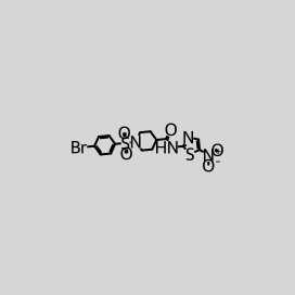 O=C(Nc1ncc([N+](=O)[O-])s1)C1CCN(S(=O)(=O)c2ccc(Br)cc2)CC1